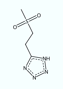 CS(=O)(=O)CCc1nnn[nH]1